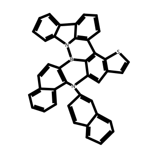 c1ccc2cc(N3c4cc5ccsc5c5c4B(c4ccc6ccccc6c43)n3c4ccccc4c4cccc-5c43)ccc2c1